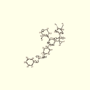 Cc1nc(S(=O)(=O)C2(c3cc(N4CCOC[C@@H]4C)nc(-c4ccc(NC(=O)Oc5ccccc5)cc4)n3)CC2)sc1C